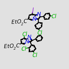 CCOC(=O)c1cc(Cl)c2nc(-c3ccccc3)c(-c3ccc(Cl)cc3Cl)n2c1.CCOC(=O)c1cc(I)c2nc(-c3ccc(Cl)cc3)c(-c3ccc(Cl)cc3)n2c1